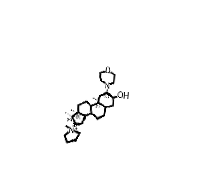 C[C@H]1[C@@H]([N+]2(C)CCCC2)CC2C3CCC4CC(O)[C@@H](N5CCOCC5)C[C@]4(C)C3CC[C@@]21C